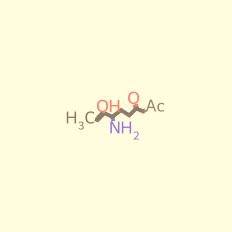 CC=C(O)C(N)CCC(=O)CC(C)=O